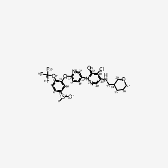 C[S+]([O-])c1ccc(OC(F)(F)F)c(Oc2ccc(-n3ncc(NCC4CCCOC4)c(Cl)c3=O)cn2)c1